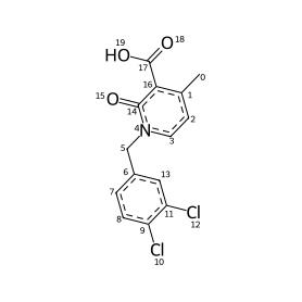 Cc1ccn(Cc2ccc(Cl)c(Cl)c2)c(=O)c1C(=O)O